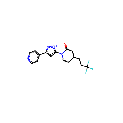 O=C1CC(CCC(F)(F)F)CCN1c1cc(-c2ccncc2)n[nH]1